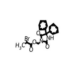 CC(Br)C(=O)OCN1C(=O)NC(c2ccccc2)(c2ccccc2)C1=O